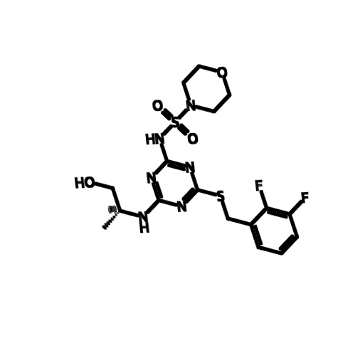 C[C@H](CO)Nc1nc(NS(=O)(=O)N2CCOCC2)nc(SCc2cccc(F)c2F)n1